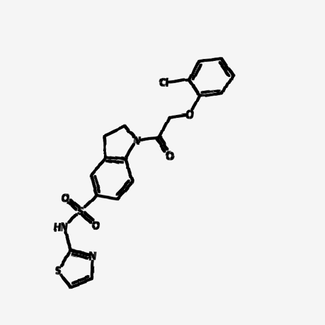 O=C(COc1ccccc1Cl)N1CCc2cc(S(=O)(=O)Nc3nccs3)ccc21